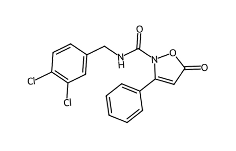 O=C(NCc1ccc(Cl)c(Cl)c1)n1oc(=O)cc1-c1ccccc1